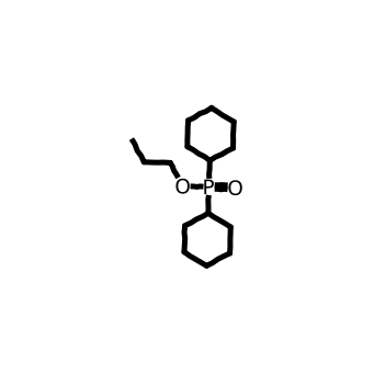 CCCOP(=O)(C1CCCCC1)C1CCCCC1